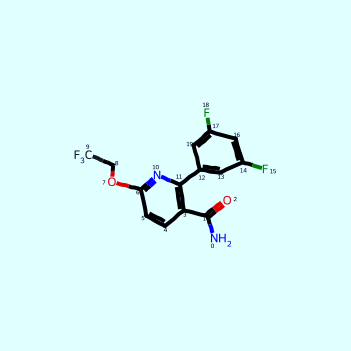 NC(=O)c1ccc(OCC(F)(F)F)nc1-c1cc(F)cc(F)c1